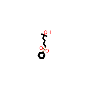 CC(C)(O)CCCCS(=O)(=O)c1ccccc1